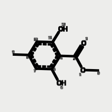 COC(=O)c1c(O)cc(C)cc1O